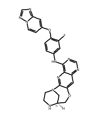 Fc1cc(Nc2ncnc3cc4c(nc23)N2CCN[C@H](CO4)C2)ccc1Oc1ccn2ncnc2c1